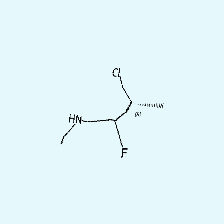 CNC(F)[C@@H](C)Cl